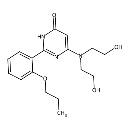 CCCOc1ccccc1-c1nc(N(CCO)CCO)cc(=O)[nH]1